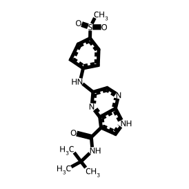 CC(C)(C)NC(=O)c1c[nH]c2ncc(Nc3ccc(S(C)(=O)=O)cc3)nc12